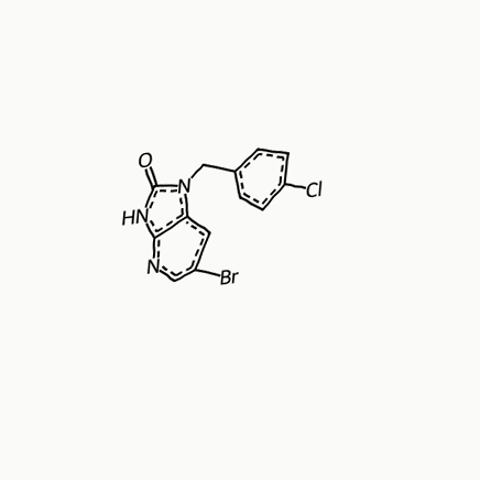 O=c1[nH]c2ncc(Br)cc2n1Cc1ccc(Cl)cc1